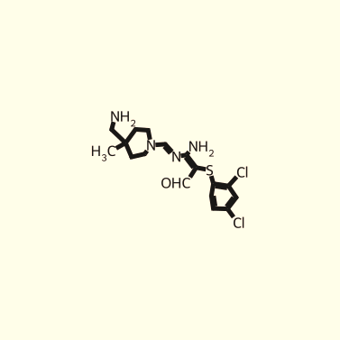 CC1(CN)CCN(/C=N/C(N)=C(\C=O)Sc2ccc(Cl)cc2Cl)CC1